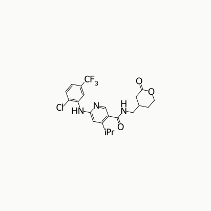 CC(C)c1cc(Nc2cc(C(F)(F)F)ccc2Cl)ncc1C(=O)NCC1CCOC(=O)C1